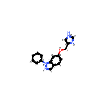 c1ccc(-n2ncc3ccc(OCc4c[nH]cn4)cc32)cc1